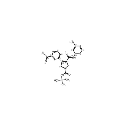 CC(C)(C)OC(=O)N1C[C@H](C(=O)Nc2cccc(N)c2)[C@@H](c2cccc(C(=O)O)c2)C1